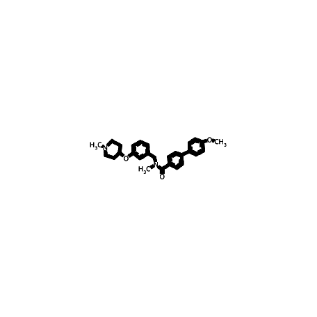 COc1ccc(-c2ccc(C(=O)N(C)Cc3cccc(OC4CCN(C)CC4)c3)cc2)cc1